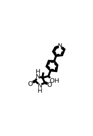 CC1(C(O)c2ccc(-c3ccncc3)cc2)NC(=O)NC1=O